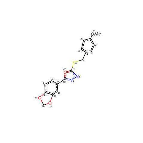 COc1ccc(CSc2nnc(-c3ccc4c(c3)OCO4)o2)cc1